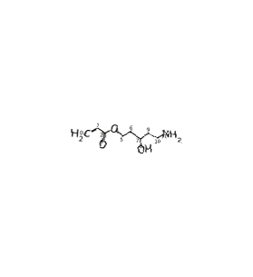 C=CC(=O)OCCC(O)CCN